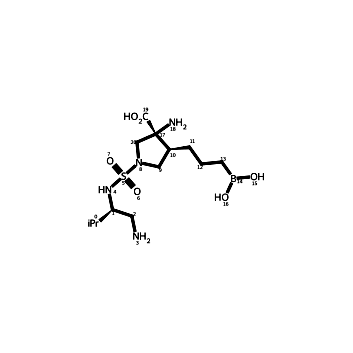 CC(C)[C@H](CN)NS(=O)(=O)N1C[C@H](CCCB(O)O)[C@](N)(C(=O)O)C1